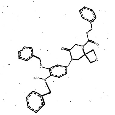 CN(Cc1ccccc1)c1ccc(N2CC3(COC3)N(C(=O)OCc3ccccc3)CC2=O)cc1OCc1ccccc1